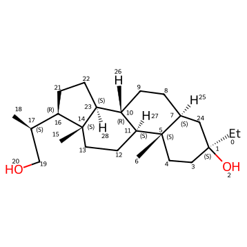 CC[C@]1(O)CC[C@@]2(C)[C@@H](CC[C@@H]3[C@@H]2CC[C@]2(C)[C@@H]([C@H](C)CO)CC[C@@H]32)C1